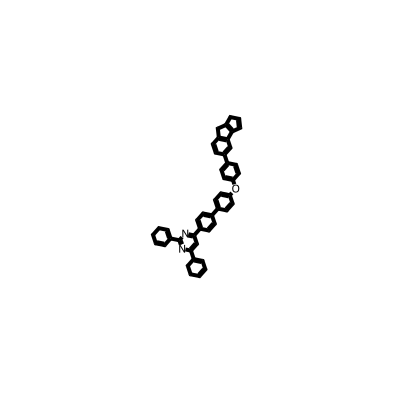 C1=CCCC(c2cc(-c3ccc(-c4ccc(Oc5ccc(-c6ccc7c(c6)C6=C(CC=C6)C7)cc5)cc4)cc3)nc(C3=CCCC=C3)n2)=C1